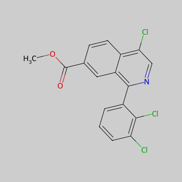 COC(=O)c1ccc2c(Cl)cnc(-c3cccc(Cl)c3Cl)c2c1